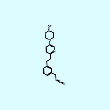 CC(=O)N1CCN(c2ccc(CCc3cccc(CN=[N+]=[N-])c3)nc2)CC1